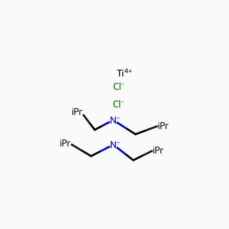 CC(C)C[N-]CC(C)C.CC(C)C[N-]CC(C)C.[Cl-].[Cl-].[Ti+4]